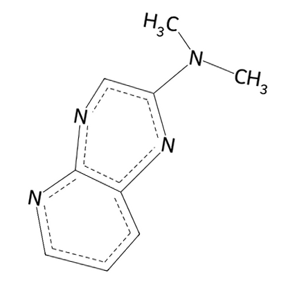 CN(C)c1cnc2ncccc2n1